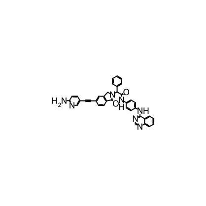 Nc1ccc(C#Cc2ccc3c(c2)CN(C(C(=O)Nc2ccc(Nc4ncnc5ccccc45)cc2)c2ccccc2)C3=O)cn1